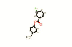 Cc1ccc(OC(=O)c2cccc(F)c2)cc1